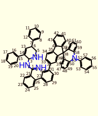 N=C(NC1NCC(c2ccccc2)C=C1c1ccccc1)c1ccccc1-c1cccc(-c2ccc3c(c2)C2(c4ccccc4-3)c3ccccc3N(c3ccccc3)c3ccccc32)c1